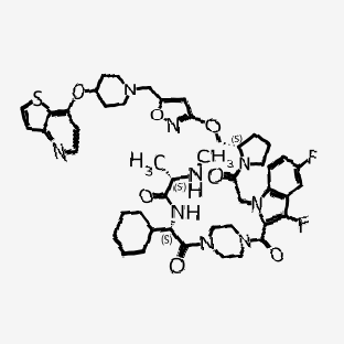 CN[C@@H](C)C(=O)N[C@H](C(=O)N1CCN(C(=O)c2c(F)c3cc(F)ccc3n2CC(=O)N2CCC[C@H]2COc2cc(CN3CCC(Oc4ccnc5ccsc45)CC3)on2)CC1)C1CCCCC1